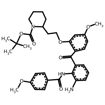 COc1ccc(C(=O)Nc2c(N)cccc2C(=O)c2ccc(OC)cc2OCCC2CCCCN2C(=O)OC(C)(C)C)cc1